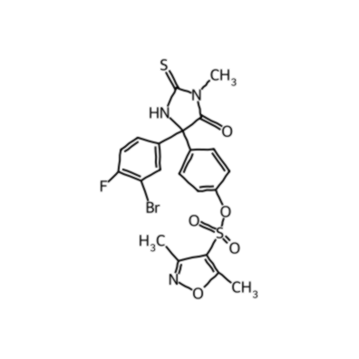 Cc1noc(C)c1S(=O)(=O)Oc1ccc(C2(c3ccc(F)c(Br)c3)NC(=S)N(C)C2=O)cc1